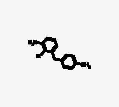 CCc1c(N)cccc1Cc1ccc(N)cc1